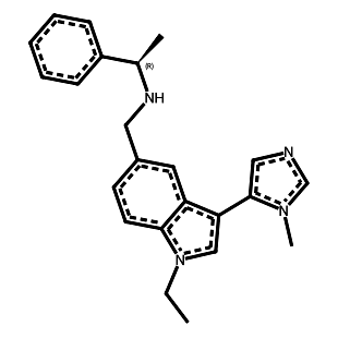 CCn1cc(-c2cncn2C)c2cc(CN[C@H](C)c3ccccc3)ccc21